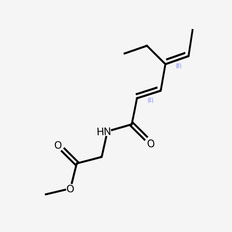 C/C=C(/C=C/C(=O)NCC(=O)OC)CC